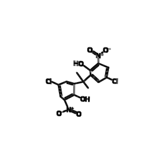 CC(C)(c1cc(Cl)cc([N+](=O)[O-])c1O)c1cc(Cl)cc([N+](=O)[O-])c1O